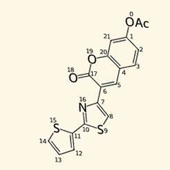 CC(=O)Oc1ccc2cc(-c3csc(-c4cccs4)n3)c(=O)oc2c1